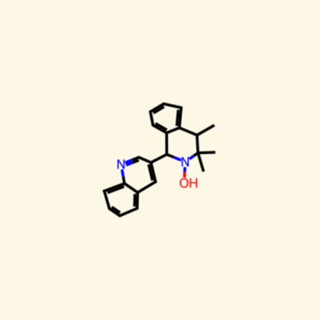 CC1c2ccccc2C(c2cnc3ccccc3c2)N(O)C1(C)C